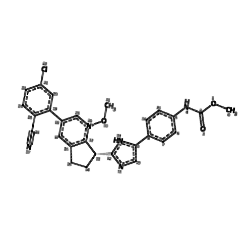 COC(=O)Nc1ccc(-c2cnc([C@@H]3CCc4cc(-c5cc(Cl)ccc5C#N)c[n+](OC)c43)[nH]2)cc1